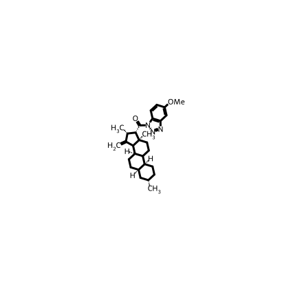 C=C1C2[C@@H]3CC[C@@H]4C[C@@H](C)CC[C@@H]4C3CC[C@]2(C)[C@@H](C(=O)n2nnc3cc(OC)ccc32)[C@H]1C